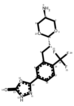 N[C@H]1CO[C@H](CCc2cc(-c3n[nH]c(=O)o3)ccc2C(F)(F)F)OC1